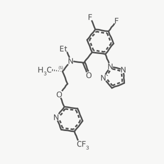 CCN(C(=O)c1cc(F)c(F)cc1-n1nccn1)[C@@H](C)COc1ccc(C(F)(F)F)cn1